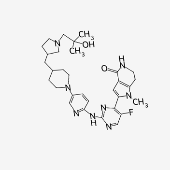 Cn1c(-c2nc(Nc3ccc(N4CCC(CC5CCN(CC(C)(C)O)C5)CC4)cn3)ncc2F)cc2c1CCNC2=O